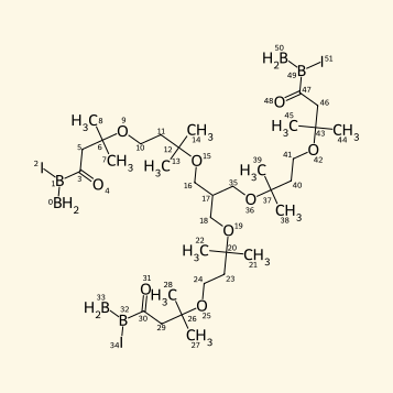 BB(I)C(=O)CC(C)(C)OCCC(C)(C)OCC(COC(C)(C)CCOC(C)(C)CC(=O)B(B)I)COC(C)(C)CCOC(C)(C)CC(=O)B(B)I